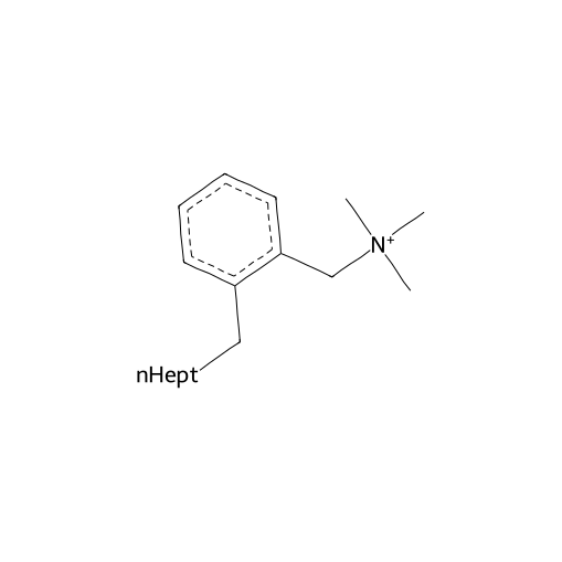 CCCCCCCCc1ccccc1C[N+](C)(C)C